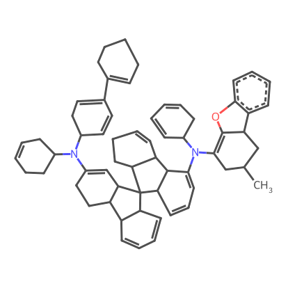 CC1CC(N(C2=CC=CC3C2C2C=CCCC2C32C3C=CC=CC3C3CCC(N(C4C=CC(C5=CCCCC5)=CC4)C4CC=CCC4)=CC32)C2C=CC=CC2)=C2Oc3ccccc3C2C1